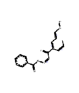 C\C=C/C(=C\C=C\SC(C)C)C(=O)/C=N\OC(=O)c1ccccc1